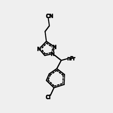 CCCC(c1ccc(Cl)cc1)n1cnc(CCC#N)n1